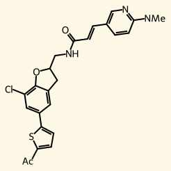 CNc1ccc(C=CC(=O)NCC2Cc3cc(-c4ccc(C(C)=O)s4)cc(Cl)c3O2)cn1